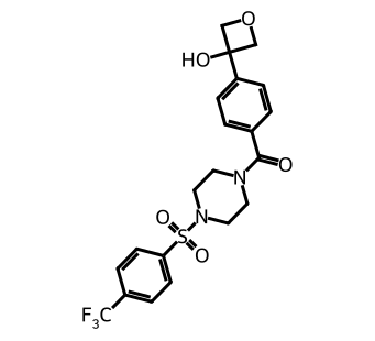 O=C(c1ccc(C2(O)COC2)cc1)N1CCN(S(=O)(=O)c2ccc(C(F)(F)F)cc2)CC1